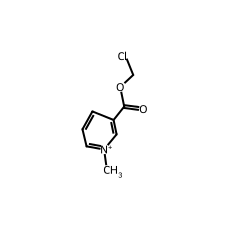 C[n+]1cccc(C(=O)OCCl)c1